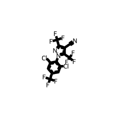 N#Cc1c(C(F)(F)F)nn(-c2c(Cl)cc(C(F)(F)F)cc2Cl)c1C(F)(F)F